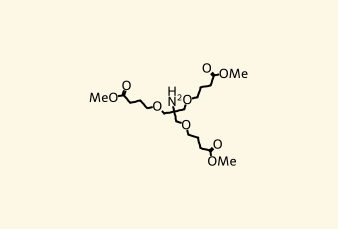 COC(=O)CCCOCC(N)(COCCCC(=O)OC)COCCCC(=O)OC